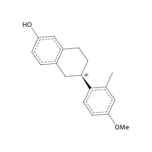 COc1ccc([C@@H]2CCc3cc(O)ccc3C2)c(C)c1